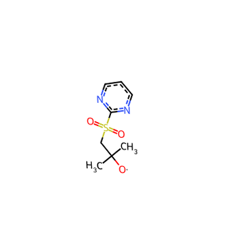 CC(C)([O])CS(=O)(=O)c1ncccn1